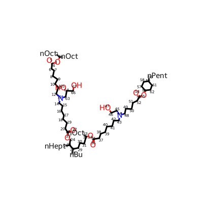 CCCCCCCCC(CCCCCCCC)OC(=O)CCCCCCCN(CCCCCCCC(=O)OCC(CCCCCCC)C(CCCC)CCCC(CCCCCCCC)OC(=O)CCCCCCCN(CCO)CCCCCC(=O)OC1CCC(CCCCC)CC1)CC(O)CO